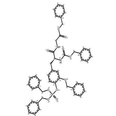 O=C(CNC(=O)[C@H](Cc1ccc(OP(=O)(OCc2ccccc2)OCc2ccccc2)c(OCc2ccccc2)c1)NC(=O)OCc1ccccc1)OCc1ccccc1